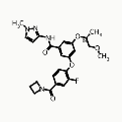 COC[C@H](C)Oc1cc(Oc2ccc(C(=O)N3CCC3)cc2F)cc(C(=O)Nc2ccn(C)n2)c1